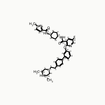 C[C@@H]1CN(CCc2ccc(-c3cccc(Oc4ncc(F)cc4C(=O)N[C@H]4CC[C@H](NC(=O)c5ccn(C)n5)CC4)c3)cc2)C[C@H](C)N1